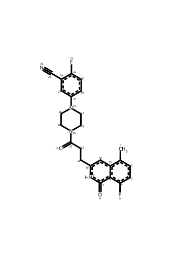 Cc1ccc(F)c2c(=O)[nH]c(CCC(=O)N3CCN(c4ccc(F)c(C#N)c4)CC3)cc12